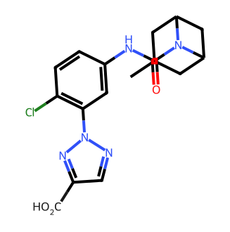 CC1CC2CC(C1)N2C(=O)Nc1ccc(Cl)c(-n2ncc(C(=O)O)n2)c1